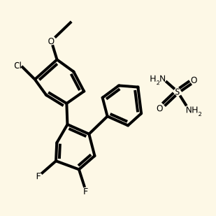 COc1ccc(-c2cc(F)c(F)cc2-c2ccccc2)cc1Cl.NS(N)(=O)=O